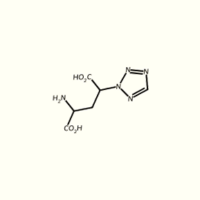 NC(CC(C(=O)O)n1ncnn1)C(=O)O